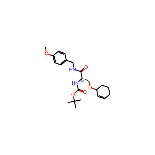 COc1ccc(CNC(=O)[C@H](COC2C=CCCC2)NC(=O)OC(C)(C)C)cc1